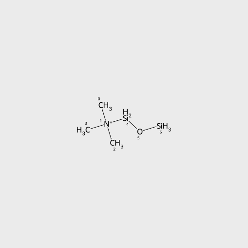 C[N+](C)(C)[SiH2]O[SiH3]